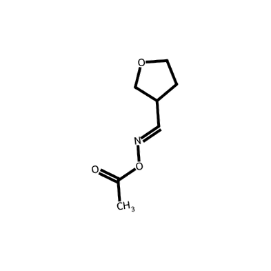 CC(=O)ON=CC1CCOC1